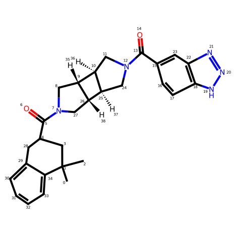 CC1(C)CC(C(=O)N2C[C@@H]3[C@H]4CN(C(=O)c5ccc6[nH]nnc6c5)C[C@H]4[C@@H]3C2)Cc2ccccc21